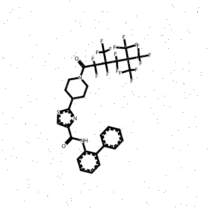 O=C(Nc1ccccc1-c1ccccc1)c1csc(C2CCN(C(=O)C(F)(F)C(F)(C(F)(F)F)C(F)(F)C(C(F)(F)F)(C(F)(F)F)C(F)(F)F)CC2)n1